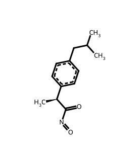 CC(C)Cc1ccc([C@H](C)C(=O)N=O)cc1